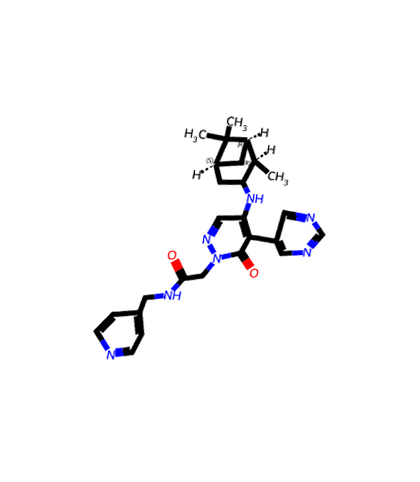 C[C@H]1C(Nc2cnn(CC(=O)NCc3ccncc3)c(=O)c2-c2cncnc2)C[C@@H]2C[C@H]1C2(C)C